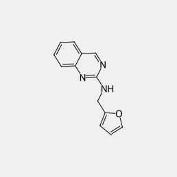 c1coc(CNc2ncc3ccccc3n2)c1